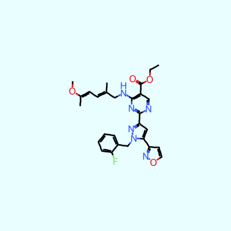 CCOC(=O)c1cnc(-c2cc(-c3ccon3)n(Cc3ccccc3F)n2)nc1NC/C(C)=C/C=C(\C)OC